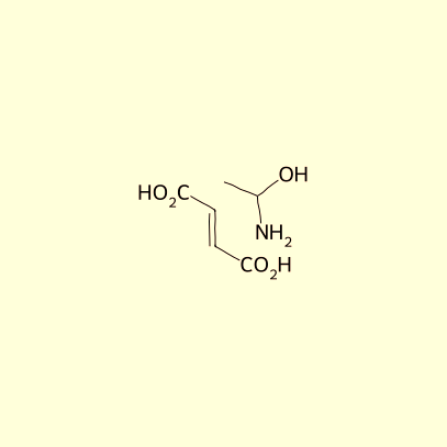 CC(N)O.O=C(O)/C=C/C(=O)O